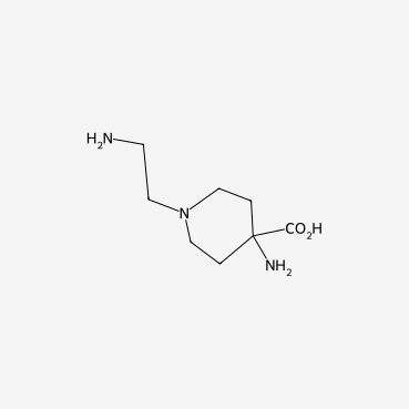 NCCN1CCC(N)(C(=O)O)CC1